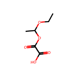 CCOC(C)OC(=O)C(=O)O